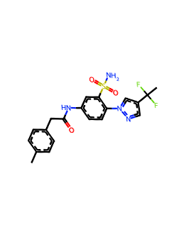 Cc1ccc(CC(=O)Nc2ccc(-n3cc(C(C)(F)F)cn3)c(S(N)(=O)=O)c2)cc1